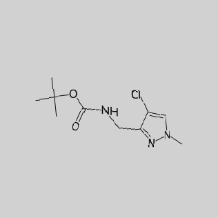 Cn1cc(Cl)c(CNC(=O)OC(C)(C)C)n1